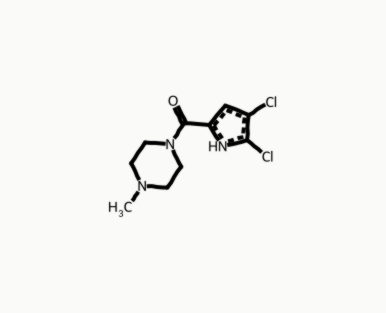 CN1CCN(C(=O)c2cc(Cl)c(Cl)[nH]2)CC1